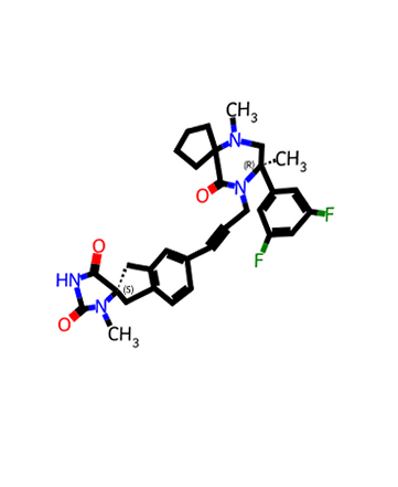 CN1C[C@@](C)(c2cc(F)cc(F)c2)N(CC#Cc2ccc3c(c2)C[C@@]2(C3)C(=O)NC(=O)N2C)C(=O)C12CCCC2